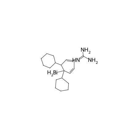 N=C(N)N.[BiH2][C]1(C2CCCCC2)C=CC=CC1C1CCCCC1